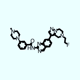 CN1CCN(c2cccc(C(=O)Nc3ncc4ccc(-c5cnn6c5CN(CCF)CC6)cc4n3)c2)CC1